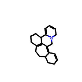 C1=CCN2CC3=C4C=CCCC4CCC4=C3C(CCC4)C2=C1